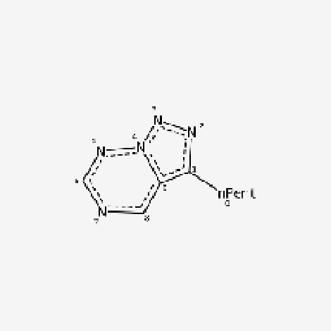 CCCCCc1nnn2ncncc12